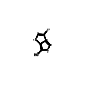 Oc1scc2c(F)csc12